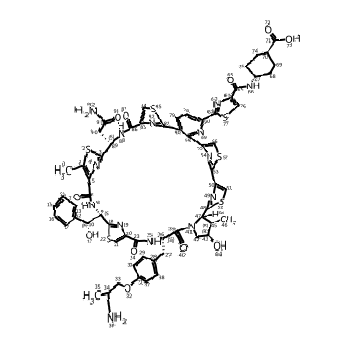 Cc1sc2nc1C(=O)N[C@@H]([C@H](O)c1ccccc1)c1nc(cs1)C(=O)N[C@@H](Cc1ccc(OCC(C)N)cc1)C(=O)N1C[C@H](O)[C@H](C)[C@H]1c1nc(cs1)-c1nc(cs1)-c1nc(-c3nc(C(=O)N[C@H]4CC[C@H](C(=O)O)CC4)cs3)ccc1-c1nc(cs1)C(=O)N[C@H]2CC(N)=O